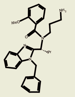 COc1ccccc1C(=O)N(CCCN)[C@@H](c1nc2ccccc2n1Cc1ccccc1)C(C)C